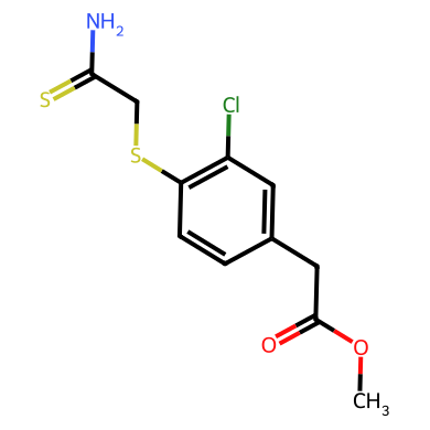 COC(=O)Cc1ccc(SCC(N)=S)c(Cl)c1